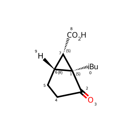 CCC(C)[C@]12C(=O)CC[C@@H]1[C@@H]2C(=O)O